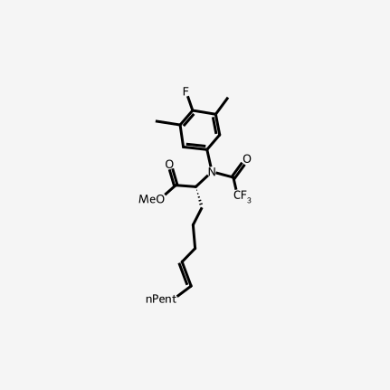 CCCCC/C=C/CCC[C@H](C(=O)OC)N(C(=O)C(F)(F)F)c1cc(C)c(F)c(C)c1